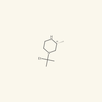 CCC(C)(C)N1CCN[C@H](C)C1